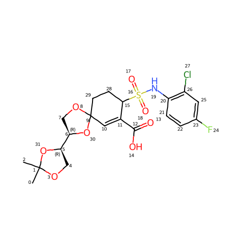 CC1(C)OC[C@H]([C@H]2COC3(C=C(C(=O)O)C(S(=O)(=O)Nc4ccc(F)cc4Cl)CC3)O2)O1